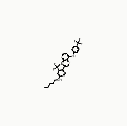 CCCCCNc1cc(C(F)(F)F)c(-c2cnc3c(Nc4ccc(C(F)(F)F)cn4)ccnc3n2)nn1